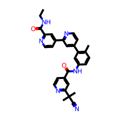 CCNC(=O)c1cc(-c2cc(-c3cc(NC(=O)c4ccnc(C(C)(C)C#N)c4)ccc3C)ccn2)ccn1